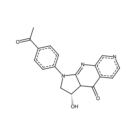 CC(=O)c1ccc(N2C[C@@H](O)C3C(=O)c4ccncc4N=C32)cc1